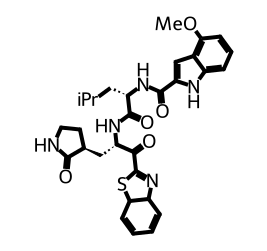 COc1cccc2[nH]c(C(=O)N[C@@H](CC(C)C)C(=O)N[C@@H](C[C@@H]3CCNC3=O)C(=O)C3=NC4C=CC=CC4S3)cc12